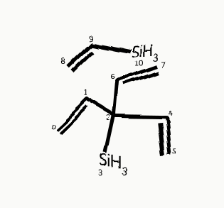 C=CC([SiH3])(C=C)C=C.C=C[SiH3]